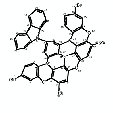 CC(C)(C)c1ccc2c(c1)Oc1c(C(C)(C)C)cc3c4c1N2c1cc(-n2c5ccccc5c5ccccc52)cc2c1[Si]4(C)c1c(cc(C(C)(C)C)c4c1N2c1ccc(C(C)(C)C)cc1O4)O3